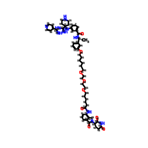 C[C@@H](NC(=O)c1cccc(NC2(C(=N)NC(=N)c3ccncc3)CCNCC2)c1)c1cccc(OCCCCCCOCCOCCOCCCCCC(=O)Nc2cccc3c2CN(C2CCC(=O)NC2=O)C3=O)c1